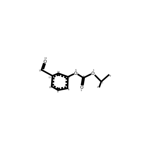 CC(C)OC(=O)Oc1cccc(C=O)c1